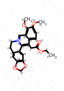 CCOC(=O)Cc1c2[n+](cc3c(OC)c(OC)ccc13)CCc1cc3c(cc1-2)OCO3